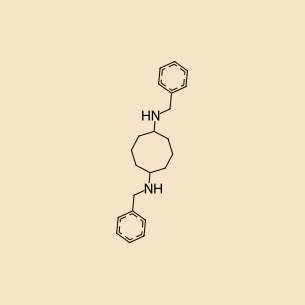 c1ccc(CNC2CCCC(NCc3ccccc3)CCC2)cc1